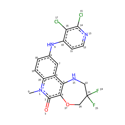 Cn1c(=O)c2c(c3cc(Nc4ccnc(Cl)c4Cl)ccc31)NCC(F)(F)CO2